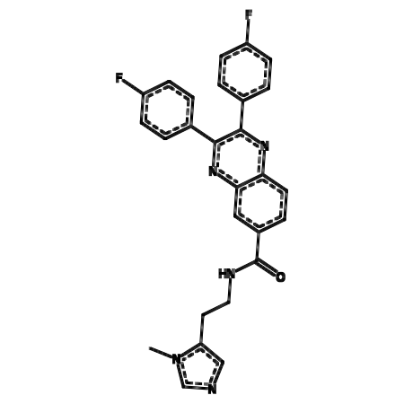 Cn1cncc1CCNC(=O)c1ccc2nc(-c3ccc(F)cc3)c(-c3ccc(F)cc3)nc2c1